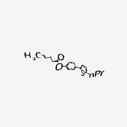 CC=CCCC(=O)Oc1ccc(-c2ccc(CCC)s2)cc1